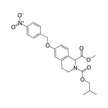 COC(=O)C1c2ccc(OCc3ccc([N+](=O)[O-])cc3)cc2CCN1C(=O)OCC(C)C